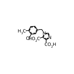 Cc1ccc(Cn2cnc(C(=O)O)c2C(=O)O)cc1Cl